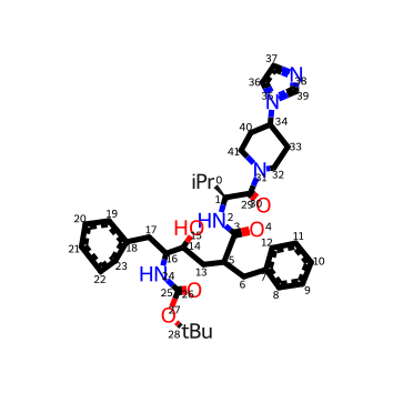 CC(C)[C@H](NC(=O)C(Cc1ccccc1)CC(O)C(Cc1ccccc1)NC(=O)OC(C)(C)C)C(=O)N1CCC(n2ccnc2)CC1